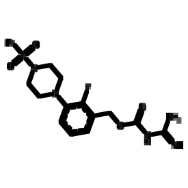 CC(C)S(=O)(=O)N1CCN(c2cccc(COC(=O)NC(=N)N)c2F)CC1